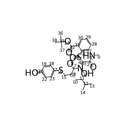 CNC(=O)[C@@H](N(O)C(=O)[C@H](CCC(C)C)CSc1ccc(O)cc1)[S+]([O-])c1ccccc1C(=O)OC(C)(C)C